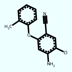 Cc1ccccc1Oc1cc(N)c(Cl)cc1C#N